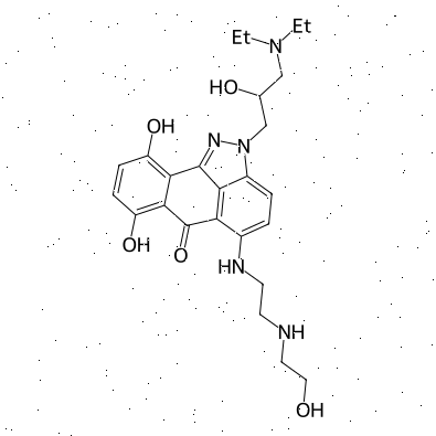 CCN(CC)CC(O)Cn1nc2c3c(c(NCCNCCO)ccc31)C(=O)c1c(O)ccc(O)c1-2